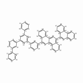 c1ccc(-c2cc(-c3cccc(-c4ccccn4)c3)nc(-c3cccc(-c4cc5c6ccccc6c(-c6cc7ccccc7c7ccccc67)cc5c5ccccc45)c3)n2)cc1